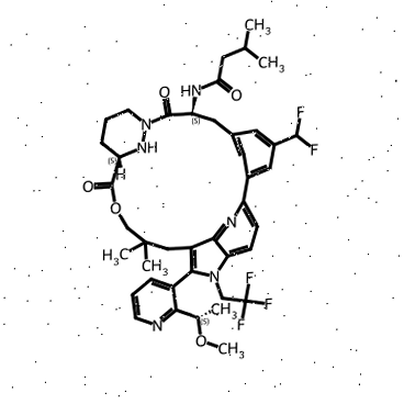 CO[C@@H](C)c1ncccc1-c1c2c3nc(ccc3n1CC(F)(F)F)-c1cc(cc(C(F)F)c1)C[C@H](NC(=O)CC(C)C)C(=O)N1CCC[C@H](N1)C(=O)OCC(C)(C)C2